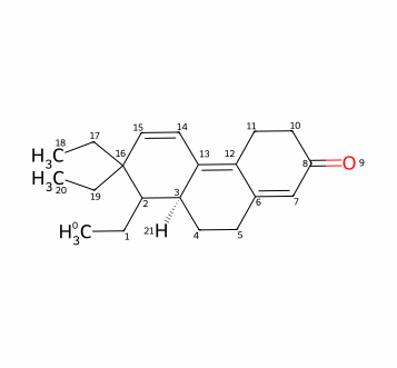 CCC1[C@@H]2CCC3=CC(=O)CCC3=C2C=CC1(CC)CC